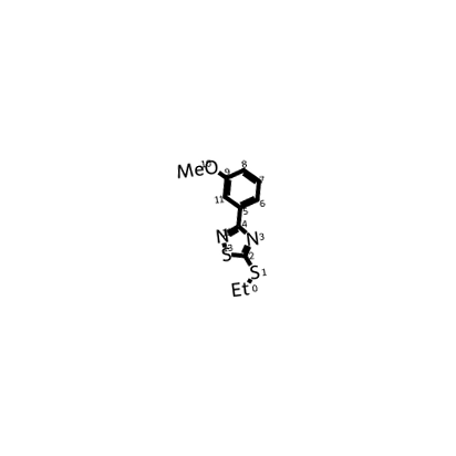 CCSc1nc(-c2cccc(OC)c2)ns1